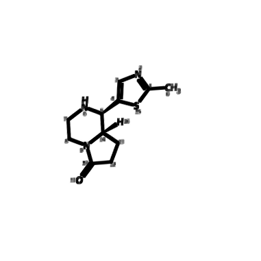 Cc1ncc([C@@H]2NCCN3C(=O)CC[C@@H]23)s1